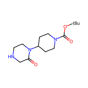 CC(C)(C)OC(=O)N1CCC(N2CCNCC2=O)CC1